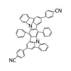 N#Cc1ccc(-c2cc3c4ccccc4n4c5c(-c6ccccc6)c6c7cc(-c8ccc(C#N)cc8)cc8c9ccccc9n(c6c(-c6ccccc6)c5c(c2)c34)c87)cc1